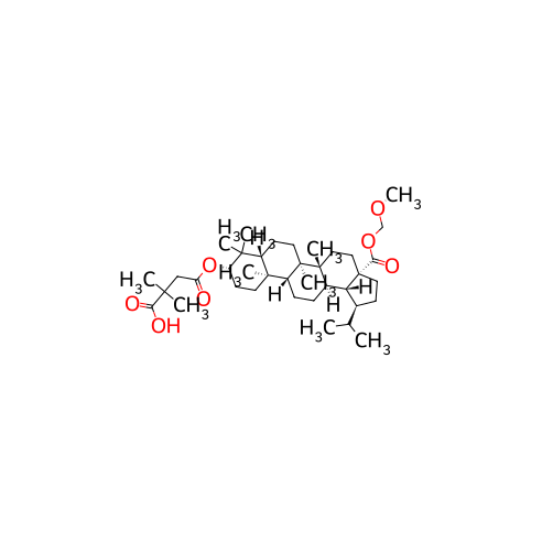 COCOC(=O)[C@]12CC[C@@H](C(C)C)[C@@H]1[C@H]1CC[C@@H]3[C@@]4(C)CC[C@H](OC(=O)CC(C)(C)C(=O)O)C(C)(C)[C@@H]4CC[C@@]3(C)[C@]1(C)CC2